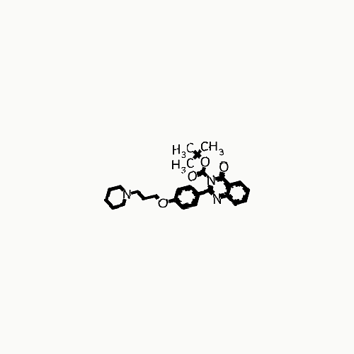 CC(C)(C)OC(=O)n1c(-c2ccc(OCCCN3CCCCC3)cc2)nc2ccccc2c1=O